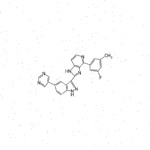 Cc1cc(F)cc(-c2nccc3[nH]c(-c4n[nH]c5ccc(-c6cncnc6)cc45)nc23)c1